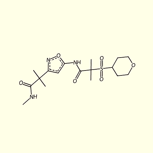 CNC(=O)C(C)(C)c1cc(NC(=O)C(C)(C)S(=O)(=O)C2CCOCC2)on1